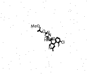 C=C(COC)COc1nnc(NC(=O)c2cnc(C)cc2-c2c(OC)ccc(Cl)c2F)s1